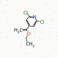 C=C(OCC)c1cc(Cl)nc(Cl)c1